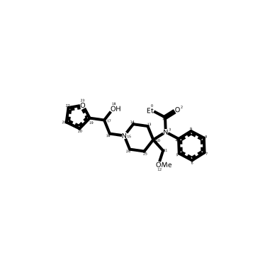 CCC(=O)N(c1ccccc1)C1(COC)CCN(CC(O)c2ccco2)CC1